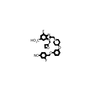 N#Cc1ccc(COc2cccc(OC3CCN(Cc4nc5c(F)cc(C(=O)O)cc5n4C[C@@H]4CCO4)CC3)c2)c(F)c1